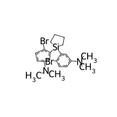 CN(C)c1ccc(Br)c([Si]2(c3cc(N(C)C)ccc3Br)CCCC2)c1